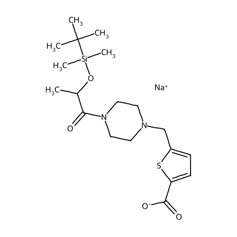 CC(O[Si](C)(C)C(C)(C)C)C(=O)N1CCN(Cc2ccc(C(=O)[O-])s2)CC1.[Na+]